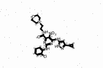 O=C(NCCN1CCOCC1)c1nc(Nc2ccccc2Cl)nc(Nc2cc(C3CC3)n[nH]2)c1[N+](=O)[O-]